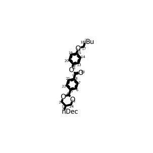 CCCCCCCCCCC1COC(c2ccc(C(=O)Oc3ccc(OCC(C)CC)cc3)cc2)OC1